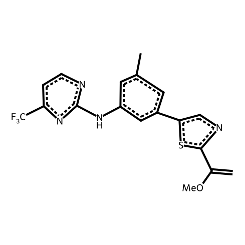 C=C(OC)c1ncc(-c2cc(C)cc(Nc3nccc(C(F)(F)F)n3)c2)s1